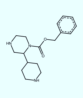 O=C(OCc1ccccc1)N1CCNCC1C1CCNCC1